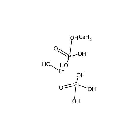 CCO.O=P(O)(O)O.O=P(O)(O)O.[CaH2]